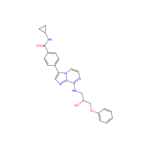 O=C(NC1CC1)c1ccc(-c2cnc3c(NCC(O)COc4ccccc4)nccn23)cc1